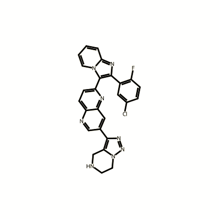 Fc1ccc(Cl)cc1-c1nc2ccccn2c1-c1ccc2ncc(-c3nnn4c3CNCC4)cc2n1